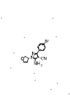 N#Cc1c(-c2ccc(Br)cc2)nn([C@@H]2CCOC2)c1N